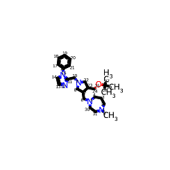 CN1CCCN(CC2CN(Cc3nccn3-c3ccccc3)CC2COC(C)(C)C)CC1